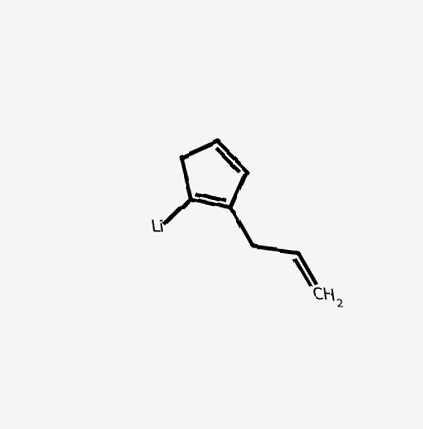 [Li][C]1=C(CC=C)C=CC1